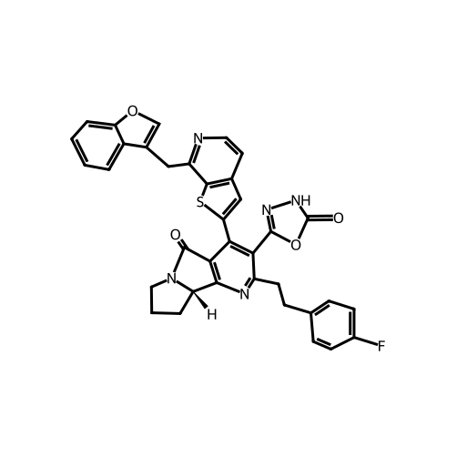 O=C1c2c(nc(CCc3ccc(F)cc3)c(-c3n[nH]c(=O)o3)c2-c2cc3ccnc(Cc4coc5ccccc45)c3s2)[C@@H]2CCCN12